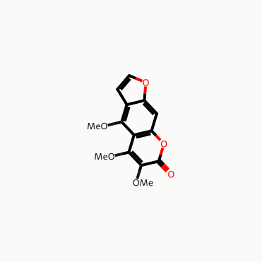 COc1c(OC)c2c(OC)c3ccoc3cc2oc1=O